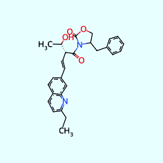 CCc1ccc2ccc(/C=C/[C@@H](C(=O)N3C(=O)OCC3Cc3ccccc3)C(C)O)cc2n1